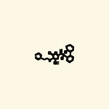 O=c1oc(NS(=O)(=O)c2ccccc2-c2ccccc2)cc(O)c1SCCc1ccccc1